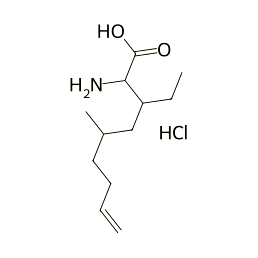 C=CCCC(C)CC(CC)C(N)C(=O)O.Cl